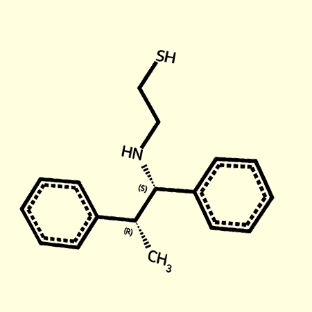 C[C@H](c1ccccc1)[C@H](NCCS)c1ccccc1